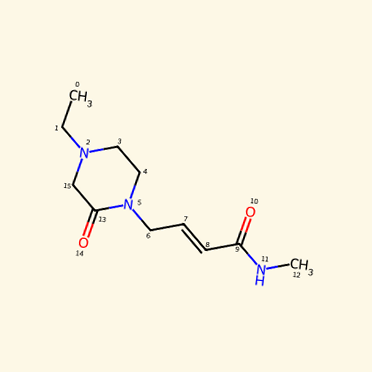 CCN1CCN(C/C=C/C(=O)NC)C(=O)C1